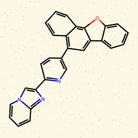 c1ccc2c(c1)oc1c3ccccc3c(-c3ccc(-c4cn5ccccc5n4)nc3)cc21